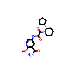 COc1ncc(NC(=O)C(=O)N2CCCC[C@H]2C2CCCC2)cc1C(N)=O